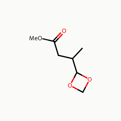 COC(=O)CC(C)C1OCO1